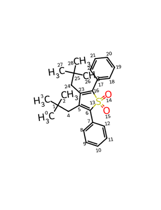 CC(C)(C)CC1=C(c2ccccc2)S(=O)(=O)C(c2ccccc2)=C1CC(C)(C)C